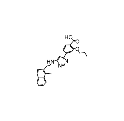 CCCOc1cc(-c2cc(NCCc3ccc4ccccc4c3C)ncn2)ccc1C(=O)O